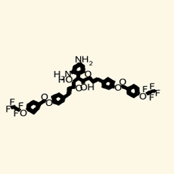 Nc1ccc(C(C(O)C(=O)/C=C/c2ccc(OC(=O)c3ccc(OC(F)(F)C(F)F)cc3)cc2)C(O)C(=O)/C=C/c2ccc(OC(=O)c3ccc(OC(F)(F)C(F)F)cc3)cc2)c(N)c1